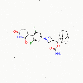 NC(=O)OC(C1CN(c2cc(F)c(C3CCC(=O)NC3=O)c(F)c2)C1)C12CC3CC(CC(C3)C1)C2